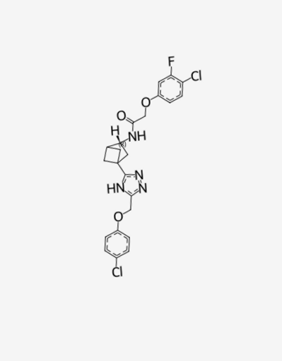 O=C(COc1ccc(Cl)c(F)c1)N[C@@H]1CC2(c3nnc(COc4ccc(Cl)cc4)[nH]3)CC1C2